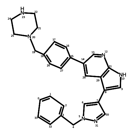 c1ccc(Cn2cc(-c3c[nH]c4ncc(-c5ccc(CN6CCNCC6)cc5)cc34)cn2)cc1